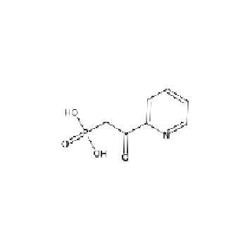 O=C(CP(=O)(O)O)c1ccccn1